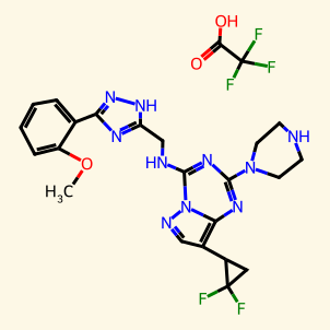 COc1ccccc1-c1n[nH]c(CNc2nc(N3CCNCC3)nc3c(C4CC4(F)F)cnn23)n1.O=C(O)C(F)(F)F